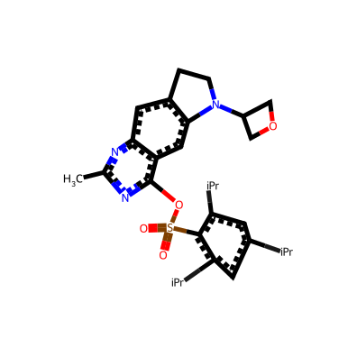 Cc1nc(OS(=O)(=O)c2c(C(C)C)cc(C(C)C)cc2C(C)C)c2cc3c(cc2n1)CCN3C1COC1